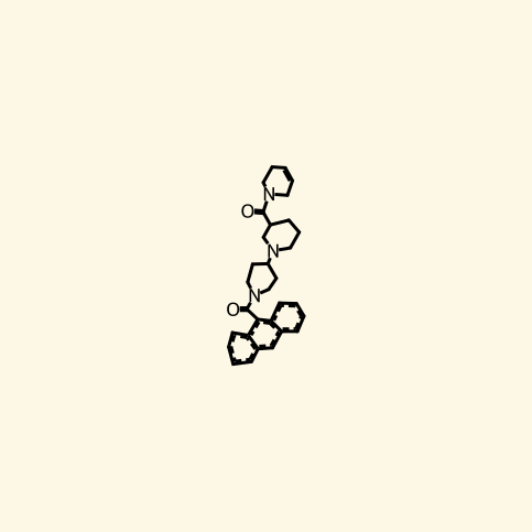 O=C(c1c2ccccc2cc2ccccc12)N1CCC(N2CCCC(C(=O)N3CC=CCC3)C2)CC1